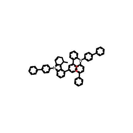 CC1CC=Cc2c1c1c(-c3cccc(-c4ccccc4N(c4ccc(-c5ccccc5)cc4)c4ccc(-c5ccccc5)cc4)c3)cccc1n2-c1ccc(-c2ccccc2)cc1